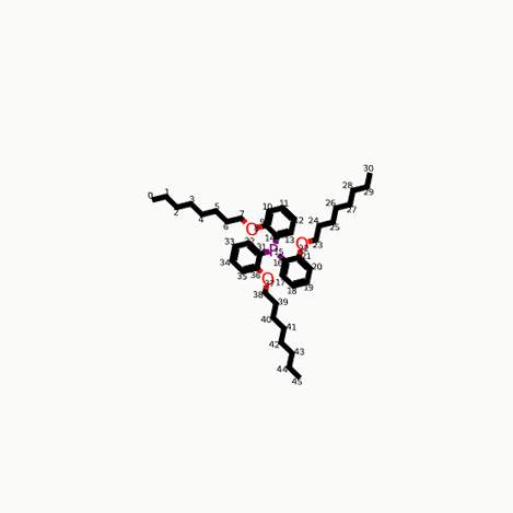 CCCCCCCCOc1ccccc1P(c1ccccc1OCCCCCCCC)c1ccccc1OCCCCCCCC